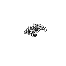 CC(=O)OCC1=C(C(=O)O)N2C(=O)[C@@](NO)(NC(=O)C(NC(=O)N3CCN(S(C)(=O)=O)C3=O)c3ccco3)[C@@H]2SC1